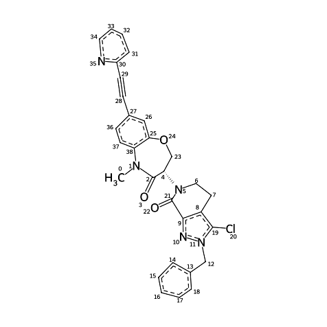 CN1C(=O)[C@@H](N2CCc3c(nn(Cc4ccccc4)c3Cl)C2=O)COc2cc(C#Cc3ccccn3)ccc21